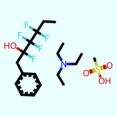 CCC(F)(F)C(F)(F)C(O)(F)Cc1ccccc1.CCN(CC)CC.CS(=O)(=O)O